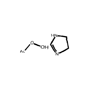 C1=NCCN1.CC(=O)OO